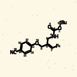 CC(C)(C)OC(=O)NC/C(=C\F)COc1ccc(C#N)cc1